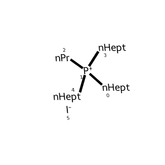 CCCCCCC[P+](CCC)(CCCCCCC)CCCCCCC.[I-]